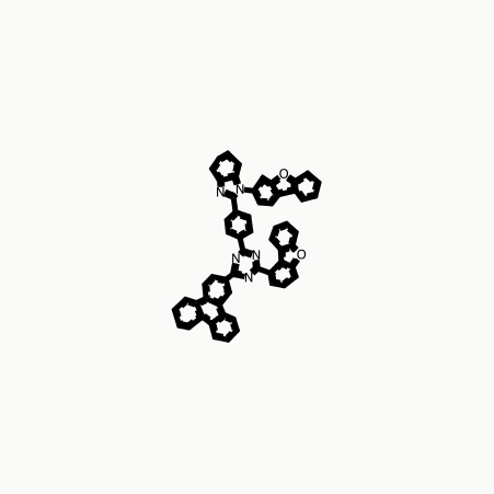 c1ccc2c(c1)nc(-c1ccc(-c3nc(-c4ccc5c6ccccc6c6ccccc6c5c4)nc(-c4cccc5oc6ccccc6c45)n3)cc1)n2-c1ccc2c(c1)oc1ccccc12